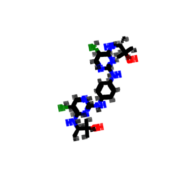 C[C@@H](Nc1nc(Nc2ccc(Nc3ncc(Br)c(N[C@H](C)C(C)(C)O)n3)cc2)ncc1Br)C(C)(C)O